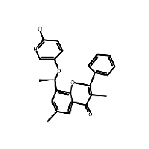 Cc1cc([C@@H](C)Oc2ccc(Cl)nc2)c2oc(-c3ccccc3)c(C)c(=O)c2c1